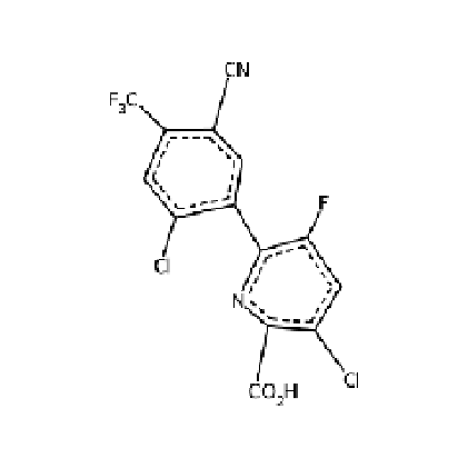 N#Cc1cc(-c2nc(C(=O)O)c(Cl)cc2F)c(Cl)cc1C(F)(F)F